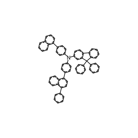 c1ccc(-c2ccc(-c3ccc(N(c4ccc(-c5cccc6ccccc56)cc4)c4ccc5c(c4)C(c4ccccc4)(c4ccccc4)c4ccccc4-5)cc3)c3ccccc23)cc1